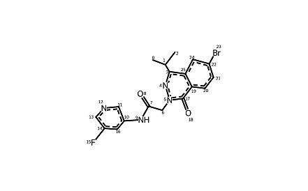 CC(C)c1nn(CC(=O)Nc2cncc(F)c2)c(=O)c2ccc(Br)cc12